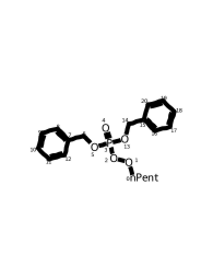 CCCCCOOP(=O)(OCc1ccccc1)OCc1ccccc1